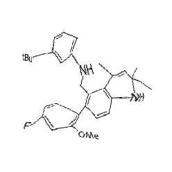 COc1cc(F)ccc1-c1ccc2c(c1CNc1cccc(C(C)(C)C)c1)C(C)=CC(C)(C)N2